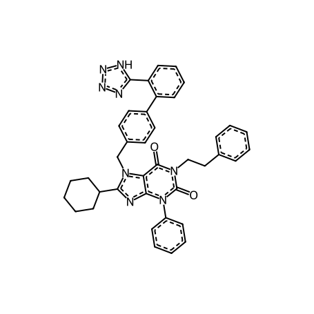 O=c1c2c(nc(C3CCCCC3)n2Cc2ccc(-c3ccccc3-c3nnn[nH]3)cc2)n(-c2ccccc2)c(=O)n1CCc1ccccc1